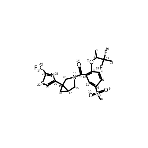 CC(Oc1ccc(S(C)(=O)=O)cc1C(=O)N1CC2CC2(c2csc(C(F)(F)F)n2)C1)C(C)(F)F